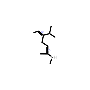 C/C=C(\C/C=C(\C)NC)C(C)C